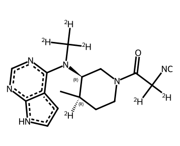 [2H]C([2H])([N+]#[C-])C(=O)N1CC[C@@]([2H])(C)[C@@H](N(c2ncnc3[nH]ccc23)C([2H])([2H])[2H])C1